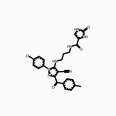 Cc1ccc(C(=O)c2nn(-c3ccc(Cl)cc3)c(NCCCNC(=O)c3c[nH]c(=O)[nH]3)c2C#N)cc1